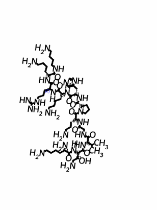 CC(C)[C@H](NC(=O)[C@@H](NC(=O)[C@@H](N)CCCCN)[C@@H](O)CN)C(=O)NCC(=O)N[C@H](CCCN)C(=O)N1CCC[C@H]1C(=O)N[C@@H](Cc1cnc[nH]1)C(=O)N[C@@H](CCCCN)C(=O)N/C(=C\CCNC(=N)N)C(=O)N[C@@H](CCCCN)C(=O)NCCCCN